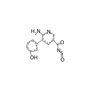 Nc1ncc(C(=O)N=S=O)cc1-c1cccc(O)c1